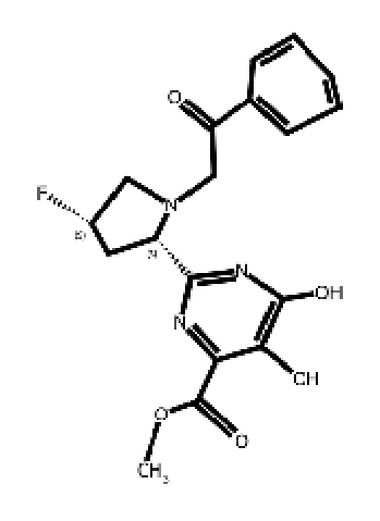 COC(=O)c1nc([C@@H]2C[C@H](F)CN2CC(=O)c2ccccc2)nc(O)c1O